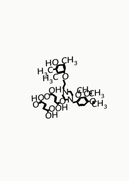 COc1ccc(CN2CCN(CCCOc3cc(C)c(O)c(C)c3C)CC2)c(OC)c1OC.O=C(O)/C=C/C(=O)O.O=C(O)/C=C/C(=O)O